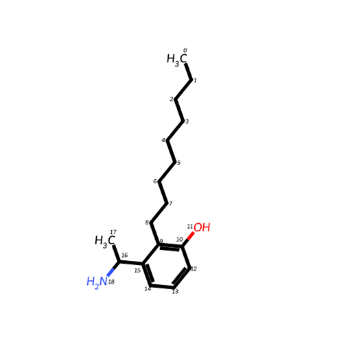 CCCCCCCCCc1c(O)cccc1C(C)N